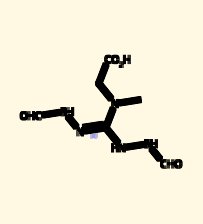 CN(CC(=O)O)/C(=N\BC=O)NBC=O